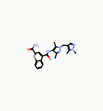 Cc1nn(Cc2cnn(C)c2C)c(C)c1NC(=O)c1cc(C(N)=O)nc2ccccc12